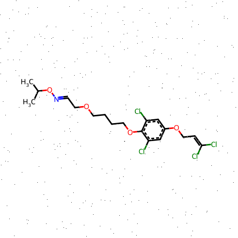 CC(C)ON=CCOCCCCOc1c(Cl)cc(OCC=C(Cl)Cl)cc1Cl